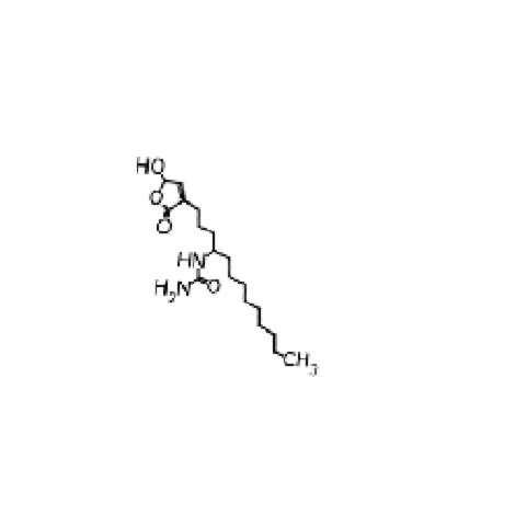 CCCCCCCCCC(CCCC1=CC(O)OC1=O)NC(N)=O